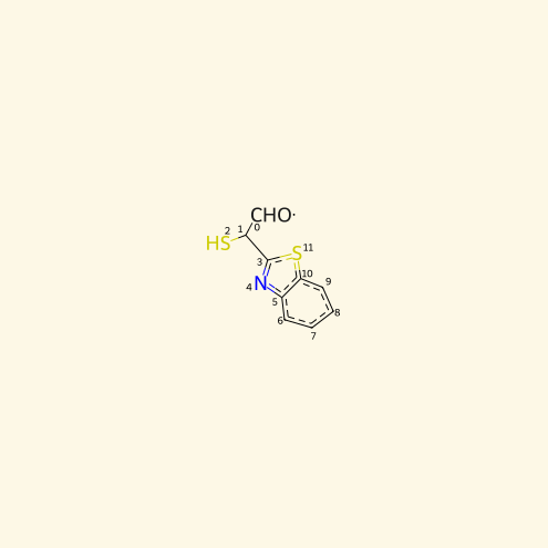 O=[C]C(S)c1nc2ccccc2s1